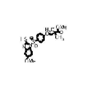 COC(=O)C(C)(C)COc1ccc(S(=O)(=O)n2c(S)nc3cc(OC)ccc32)cc1